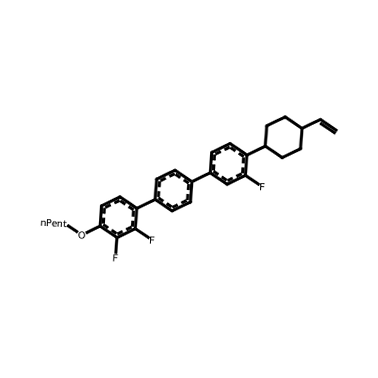 C=CC1CCC(c2ccc(-c3ccc(-c4ccc(OCCCCC)c(F)c4F)cc3)cc2F)CC1